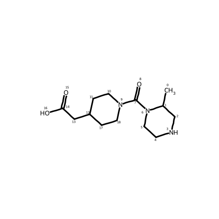 CC1CNCCN1C(=O)N1CCC(CC(=O)O)CC1